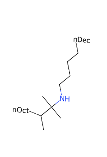 CCCCCCCCCCCCCCNC(C)(C)C(C)CCCCCCCC